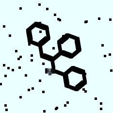 C(=C(\[SiH2]c1ccccc1)c1ccccc1)/c1ccccc1